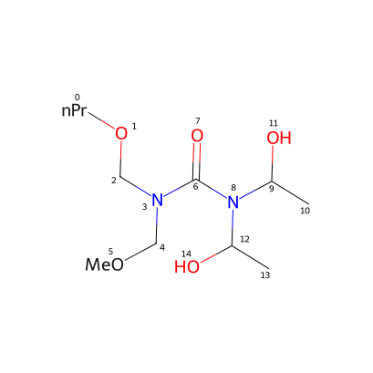 CCCOCN(COC)C(=O)N(C(C)O)C(C)O